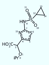 CC(C)OC(C(=O)O)c1csc(NS(=O)(=O)C2CC2)n1